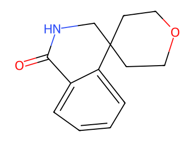 O=C1NCC2(CCOCC2)c2ccccc21